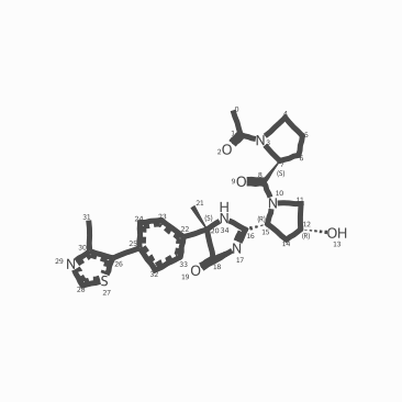 CC(=O)N1CCC[C@H]1C(=O)N1C[C@H](O)C[C@@H]1C1=NC(=O)[C@](C)(c2ccc(-c3scnc3C)cc2)N1